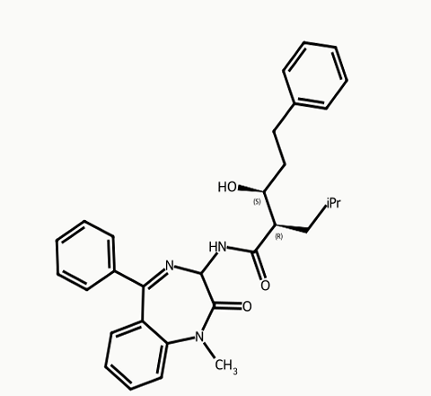 CC(C)C[C@@H](C(=O)NC1N=C(c2ccccc2)c2ccccc2N(C)C1=O)[C@@H](O)CCc1ccccc1